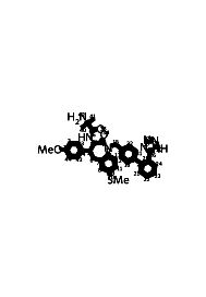 COc1ccc(C2Cc3cc(SC)ccc3N(Cc3ccc(-c4ccccc4-c4nnn[nH]4)cc3)C(=O)C2NC(=O)C(C)(C)N)cc1